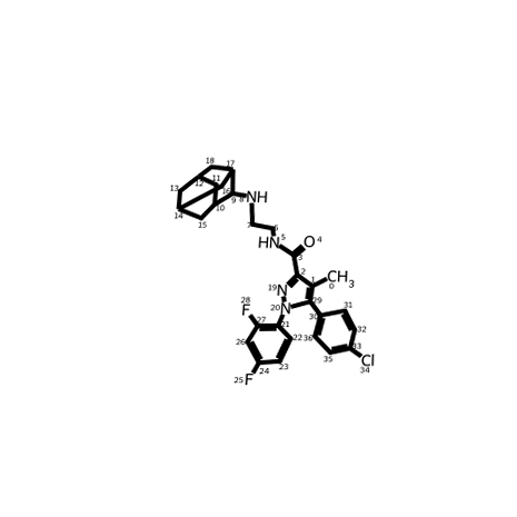 Cc1c(C(=O)NCCNC2C3CC4CC(C3)CC2C4)nn(-c2ccc(F)cc2F)c1-c1ccc(Cl)cc1